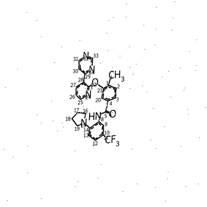 Cc1ccc(C(=O)Nc2cc(C(F)(F)F)ccc2N2CCCC2)cc1Oc1ncccc1-c1ccncn1